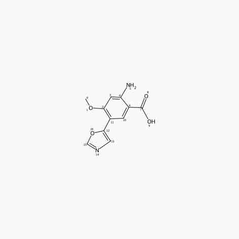 COc1cc(N)c(C(=O)O)cc1-c1cnco1